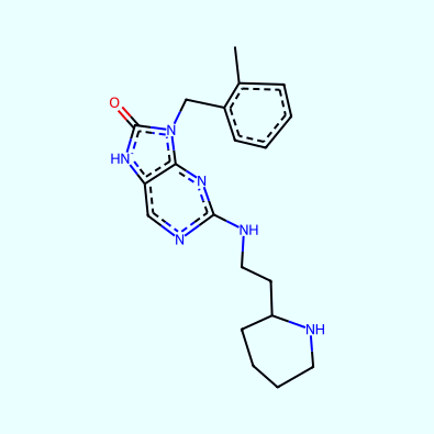 Cc1ccccc1Cn1c(=O)[nH]c2cnc(NCCC3CCCCN3)nc21